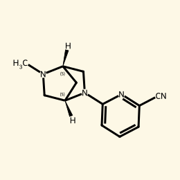 CN1C[C@@H]2C[C@H]1CN2c1cccc(C#N)n1